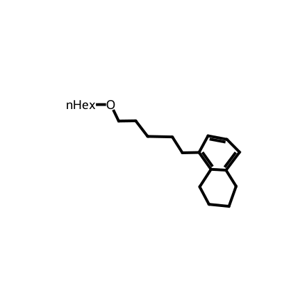 [CH2]CCCCCOCCCCCc1cccc2c1CCCC2